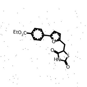 CCOC(=O)c1ccc(-c2ccc(CC3SC(=O)NC3=O)o2)cc1